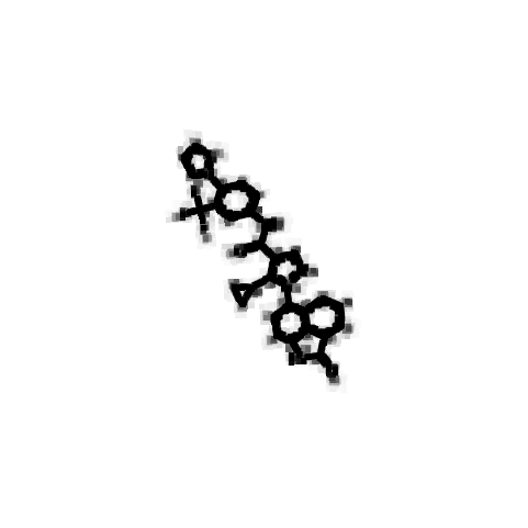 O=C(Nc1ccc(-n2cccn2)c(C(F)(F)F)c1)c1cnn(-c2ccc3c4c(cccc24)C(=O)N3)c1C1CC1